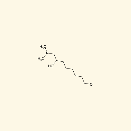 CN(C)CC(O)CCCCCC[O]